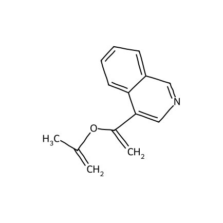 C=C(C)OC(=C)c1cncc2ccccc12